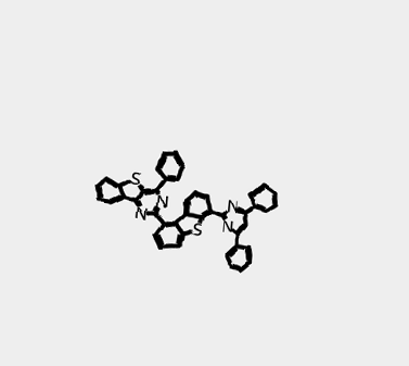 c1ccc(-c2cc(-c3ccccc3)nc(-c3cccc4c3sc3cccc(-c5nc(-c6ccccc6)c6sc7ccccc7c6n5)c34)n2)cc1